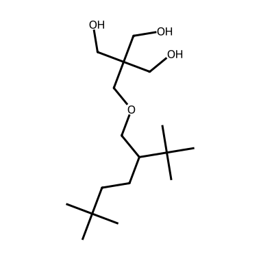 CC(C)(C)CCC(COCC(CO)(CO)CO)C(C)(C)C